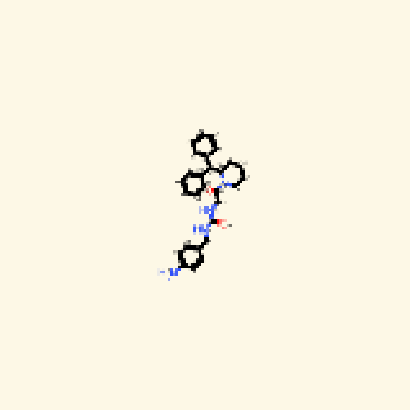 Nc1ccc(CNC(=O)NCC(=O)N2CCCCC2C(c2ccccc2)c2ccccc2)cc1